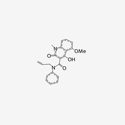 C=CCN(C(=O)c1c(O)c2c(OC)cccc2n(C)c1=O)c1ccccc1